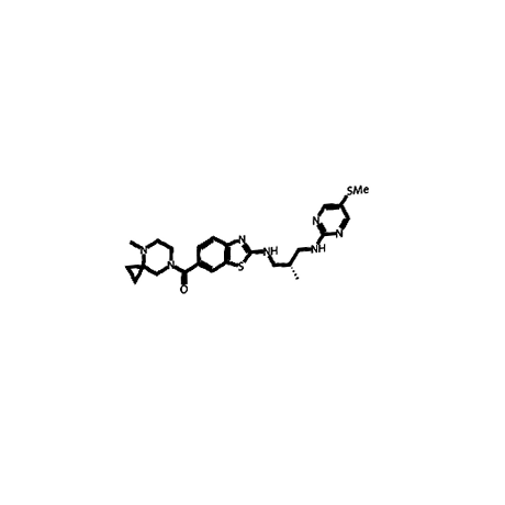 CSc1cnc(NC[C@H](C)CNc2nc3ccc(C(=O)N4CCN(C)C5(CC5)C4)cc3s2)nc1